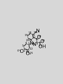 COc1ccc(-n2nc(C(=O)O)c(=O)c3c(C#N)cccc32)cc1OC